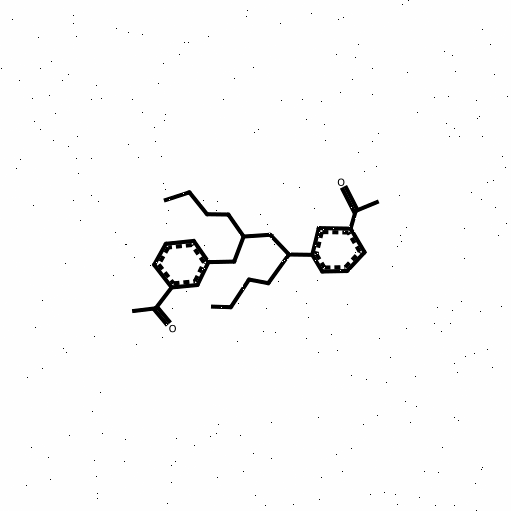 CCCCC([CH]C(CCCC)c1cccc(C(C)=O)c1)Cc1cccc(C(C)=O)c1